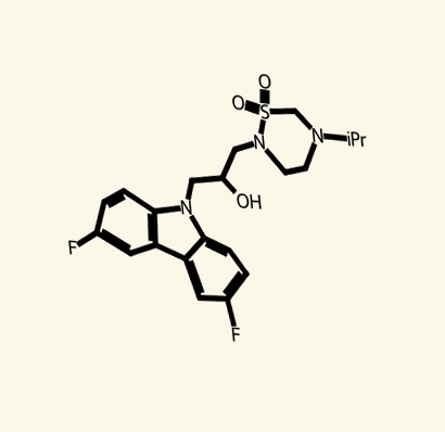 CC(C)N1CCN(CC(O)Cn2c3ccc(F)cc3c3cc(F)ccc32)S(=O)(=O)C1